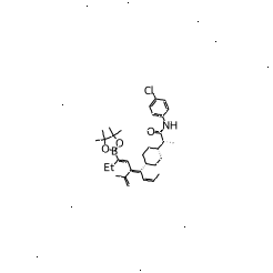 C=C(C)C(/C=C(\CC)B1OC(C)(C)C(C)(C)O1)=C(\C=C/C)[C@H]1CC[C@@H]([C@@H](C)C(=O)Nc2ccc(Cl)cc2)CC1